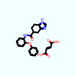 O=C(Nc1ccccc1Oc1ccccc1)C1CCc2[nH]cnc2C1.O=C(O)/C=C/C(=O)O